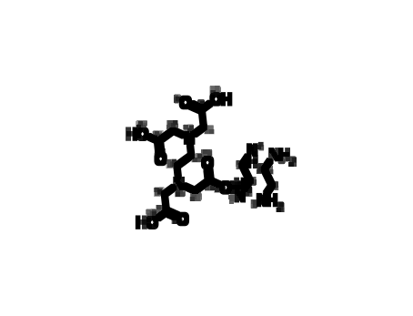 NCCN.NCCN.O=C(O)CN(CCN(CC(=O)O)CC(=O)O)CC(=O)O